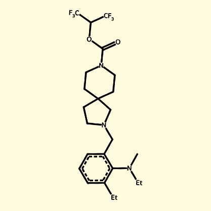 CCc1cccc(CN2CCC3(CCN(C(=O)OC(C(F)(F)F)C(F)(F)F)CC3)C2)c1N(C)CC